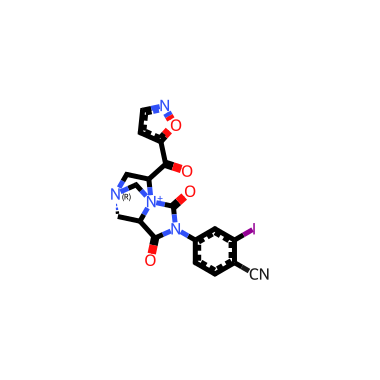 N#Cc1ccc(N2C(=O)C3C[N@]4CC(C(=O)c5ccno5)[N+]3(C4)C2=O)cc1I